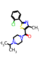 Cc1nc(-c2ccccc2Cl)sc1C(=O)N1CCN(C(C)C)CC1